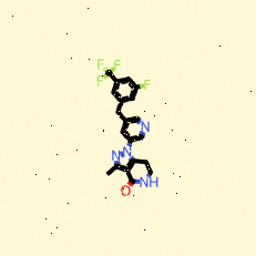 Cc1nn(-c2cncc(Cc3cc(F)cc(C(F)(F)F)c3)c2)c2c1C(=O)NCC2